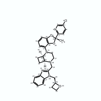 C[C@]1(c2ccc(Cl)cn2)Oc2cccc(N3CCN(Cc4nc5ccccc5n4C[C@@H]4CCO4)[C@H]4CC[C@H]43)c2O1